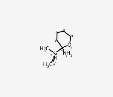 C=C[SiH](C)C1(N)CCCCO1